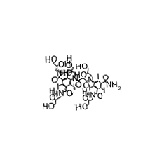 NC(=O)c1c(I)c(C(=O)NCC(O)CO)c(I)c(N(CC(O)CO)C(=O)CC(=O)N(CC(O)CO)c2c(I)c(C(=O)NCC(O)CO)c(I)c(C(=O)NCC(O)CO)c2I)c1I